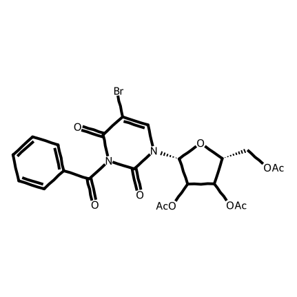 CC(=O)OC[C@H]1O[C@@H](n2cc(Br)c(=O)n(C(=O)c3ccccc3)c2=O)C(OC(C)=O)C1OC(C)=O